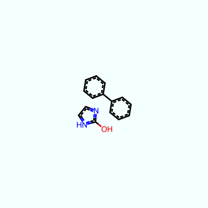 Oc1ncc[nH]1.c1ccc(-c2ccccc2)cc1